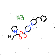 CC(C(=O)OC(=O)N1CCN(N2CCC(Cc3ccccc3)CC2)CC1)N1CCCCC1.Cl.Cl